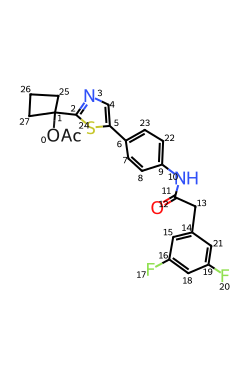 CC(=O)OC1(c2ncc(-c3ccc(NC(=O)Cc4cc(F)cc(F)c4)cc3)s2)CCC1